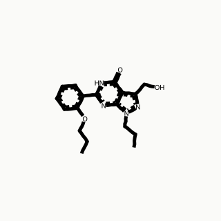 CCCOc1ccccc1-c1nc2c(c(CO)nn2CCC)c(=O)[nH]1